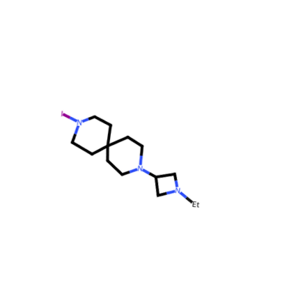 CCN1CC(N2CCC3(CCN(I)CC3)CC2)C1